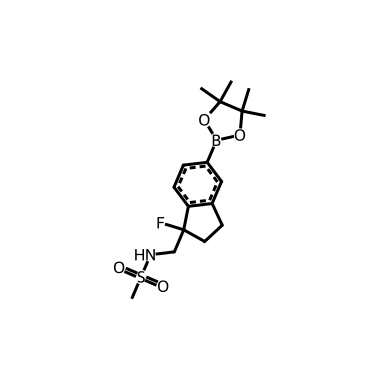 CC1(C)OB(c2ccc3c(c2)CCC3(F)CNS(C)(=O)=O)OC1(C)C